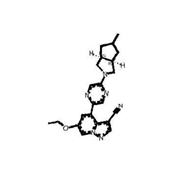 CCOc1cc(-c2cnc(N3C[C@H]4CC(C)C[C@H]4C3)cn2)c2c(C#N)cnn2c1